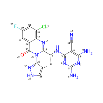 C[C@@H](Nc1nc(N)nc(N)c1C#N)c1nc2c(Cl)cc(F)cc2c(=O)n1-c1cc[nH]n1